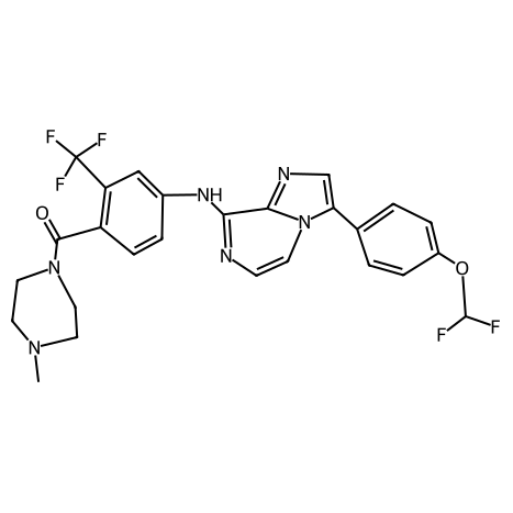 CN1CCN(C(=O)c2ccc(Nc3nccn4c(-c5ccc(OC(F)F)cc5)cnc34)cc2C(F)(F)F)CC1